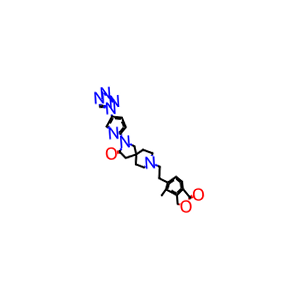 Cc1c(CCN2CCC3(CC2)CC(=O)N(c2ccc(-n4cnnn4)cn2)C3)ccc2c1COC2=O